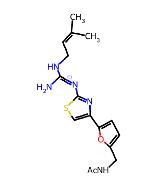 CC(=O)NCc1ccc(-c2csc(/N=C(\N)NCC=C(C)C)n2)o1